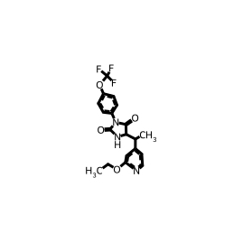 CCOc1cc(C(C)C2NC(=O)N(c3ccc(OC(F)(F)F)cc3)C2=O)ccn1